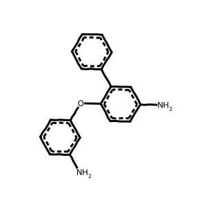 Nc1cccc(Oc2ccc(N)cc2-c2ccccc2)c1